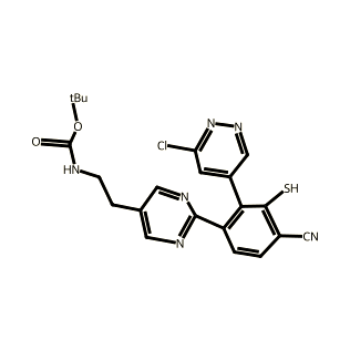 CC(C)(C)OC(=O)NCCc1cnc(-c2ccc(C#N)c(S)c2-c2cnnc(Cl)c2)nc1